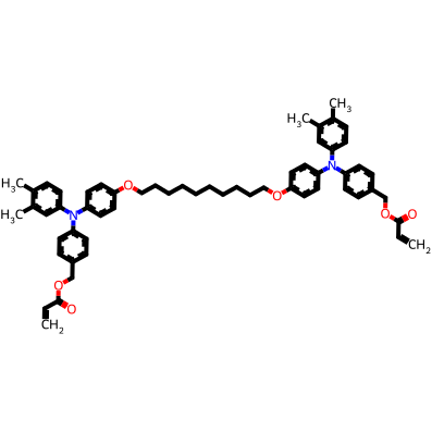 C=CC(=O)OCc1ccc(N(c2ccc(OCCCCCCCCCCOc3ccc(N(c4ccc(COC(=O)C=C)cc4)c4ccc(C)c(C)c4)cc3)cc2)c2ccc(C)c(C)c2)cc1